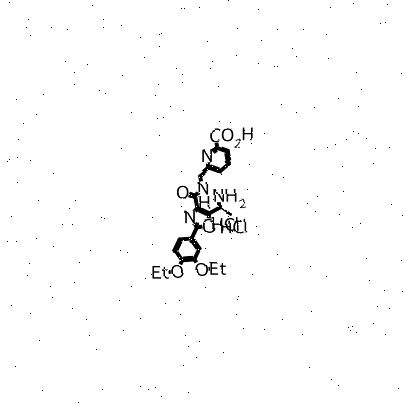 CCOc1ccc(-c2nc(C(=O)NCc3cccc(C(=O)O)n3)c([C@H](C)N)o2)cc1OCC.Cl.Cl